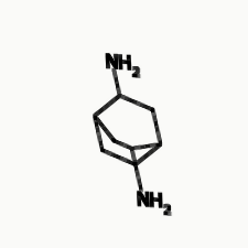 NC1CC2CCC1CC2N